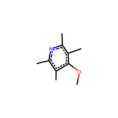 COc1c(C)c(C)nc(C)c1C